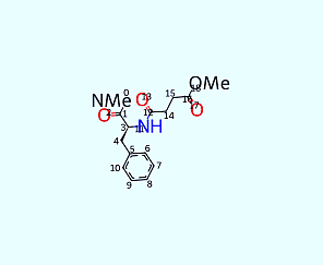 CNC(=O)[C@H](Cc1ccccc1)NC(=O)CCC(=O)OC